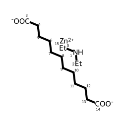 CCNCC.O=C([O-])CCCCCCCCCCC(=O)[O-].[Zn+2]